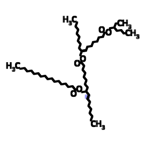 CCCCCCC/C=C/C(CCCCCCCC(=O)OCC(=CCCCCCCC(=O)OCC(CC)CCCC)CCCCCCCCC)COC(=O)CCCCCCCCCCCCCCCCC